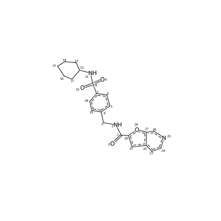 O=C(NCc1ccc(S(=O)(=O)NC2CCCCC2)cc1)c1cc2ccncc2o1